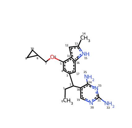 CCC(c1cc(OCC2CC2)c2cc(C)[nH]c2c1)c1cnc(N)nc1N